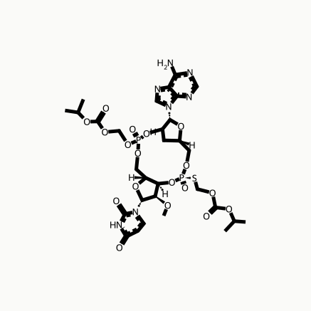 CO[C@@H]1[C@@H]2O[P@@](=O)(SCOC(=O)OC(C)C)OC[C@@H]3C[C@@H](OP(=O)(OCOC(=O)OC(C)C)OC[C@H]2O[C@H]1n1ccc(=O)[nH]c1=O)[C@H](n1cnc2c(N)ncnc21)O3